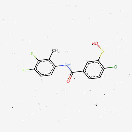 Cc1c(NC(=O)c2ccc(Cl)c(SO)c2)ccc(F)c1F